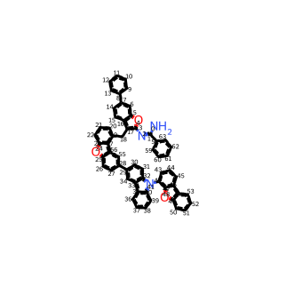 N/C(=N\c1oc2cc(-c3ccccc3)ccc2c1Cc1cccc2oc3ccc(-c4ccc5c(c4)c4ccccc4n5-c4cccc5c4oc4ccccc45)cc3c12)c1ccccc1